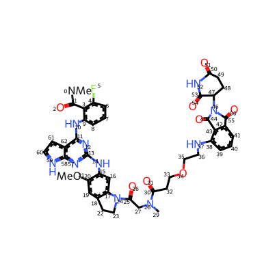 CNC(=O)c1c(F)cccc1Nc1nc(Nc2cc3c(cc2OC)CCN3C(=O)CN(C)C(=O)CCOCCNc2cccc3c2C(=O)N(C2CCC(=O)NC2=O)C3=O)nc2[nH]ccc12